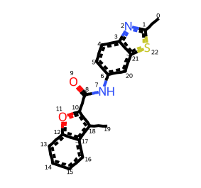 Cc1nc2ccc(NC(=O)c3oc4ccccc4c3C)cc2s1